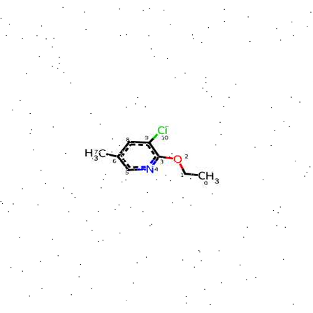 CCOc1ncc(C)cc1Cl